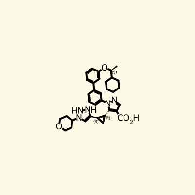 C[C@H](Oc1cccc(-c2cccc(-n3ncc(C(=O)O)c3[C@@H]3C[C@H]3C3=CN(C4CCOCC4)NN3)c2)c1)C1CCCCC1